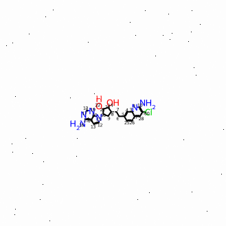 Nc1nc2cc(CC[C@H]3C[C@@H](n4ccc5c(N)ncnc54)[C@H](O)[C@@H]3O)ccc2cc1Cl